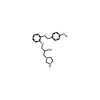 COc1ccc(CCc2ccccc2OCC(O)CN2CCNC2)cc1